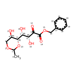 CC1OC[C@@H](O)[C@H]([C@H](O)[C@@H](O)C(=O)C(=O)OCc2ccccc2)O1